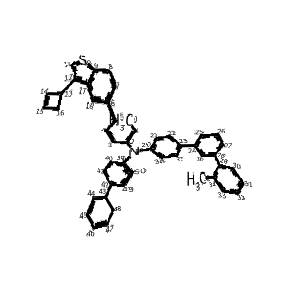 C/C=C(\C=C/Cc1ccc2scc(C3C=CC3)c2c1)N(c1ccc(-c2cccc(-c3ccccc3C)c2)cc1)c1ccc(C2C=CC=CC2)cc1